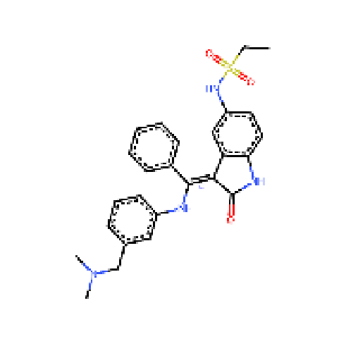 CCS(=O)(=O)Nc1ccc2c(c1)/C(=C(/Nc1cccc(CN(C)C)c1)c1ccccc1)C(=O)N2